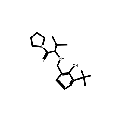 CC(C)C(NCc1cccc(C(C)(C)C)c1O)C(=O)N1CCCC1